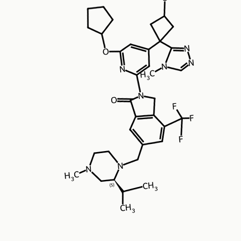 COC1CC(c2cc(OC3CCCC3)nc(N3Cc4c(cc(CN5CCN(C)C[C@@H]5C(C)C)cc4C(F)(F)F)C3=O)c2)(c2nncn2C)C1